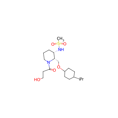 CC(C)C1CCC(OC[C@H]2[C@@H](NS(C)(=O)=O)CCCN2C(=O)CCO)CC1